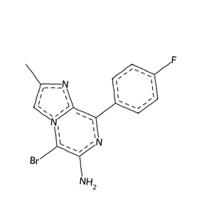 Cc1cn2c(Br)c(N)nc(-c3ccc(F)cc3)c2n1